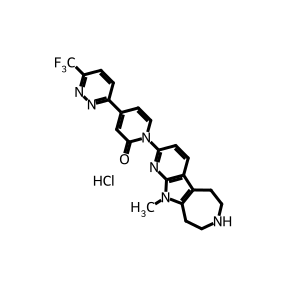 Cl.Cn1c2c(c3ccc(-n4ccc(-c5ccc(C(F)(F)F)nn5)cc4=O)nc31)CCNCC2